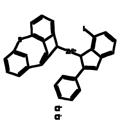 Ic1cccc2c1[CH]([Zr+2][CH]1C3=Cc4c(cccc41)Sc1cccc3c1)C(c1ccccc1)=C2.[Cl-].[Cl-]